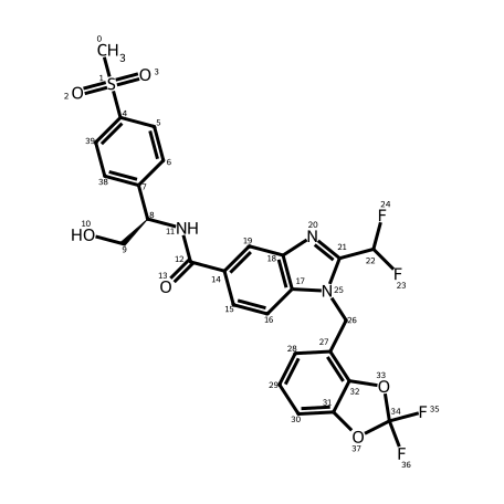 CS(=O)(=O)c1ccc([C@H](CO)NC(=O)c2ccc3c(c2)nc(C(F)F)n3Cc2cccc3c2OC(F)(F)O3)cc1